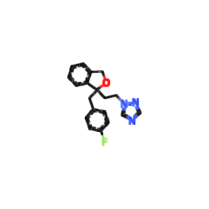 Fc1ccc(CC2(CCn3cncn3)OCc3ccccc32)cc1